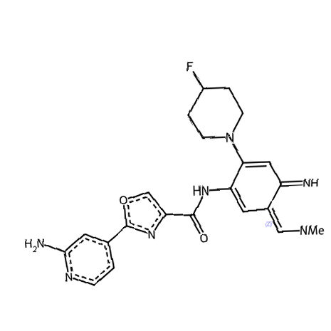 CN/C=C1/C=C(NC(=O)c2coc(-c3ccnc(N)c3)n2)C(N2CCC(F)CC2)=CC1=N